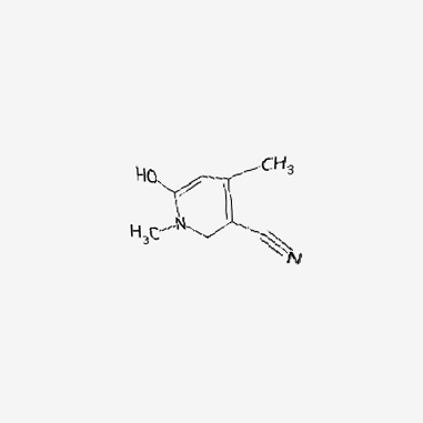 CC1=C(C#N)CN(C)C(O)=C1